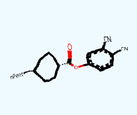 CCCCC[C@H]1CC[C@H](C(=O)Oc2ccc(C#N)c(C#N)c2)CC1